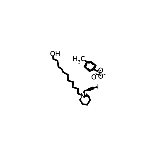 Cc1ccc(S(=O)(=O)[O-])cc1.OCCCCCCCCCCC[N+]1(CC#CI)CCCCC1